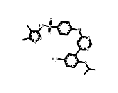 Cc1noc(NS(=O)(=O)c2ccc(Nc3cc(-c4cc(N)ccc4OC(C)C)ncn3)cc2)c1C